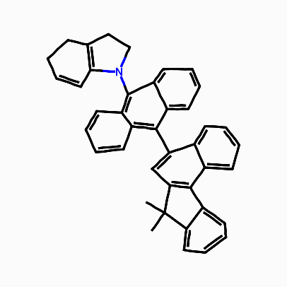 CC1(C)c2ccccc2-c2c1cc(-c1c3ccccc3c(N3CCC4=C3C=CCC4)c3ccccc13)c1ccccc21